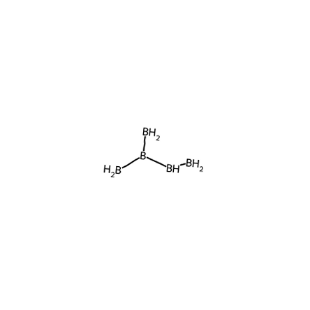 BBB(B)B